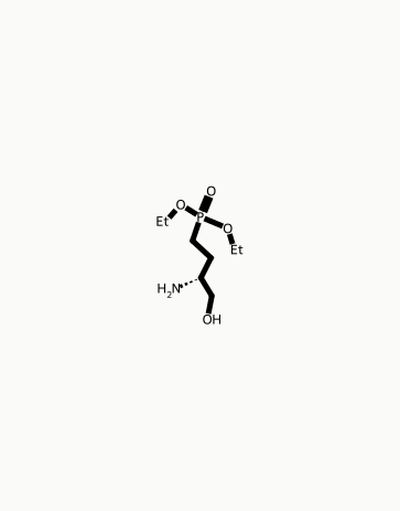 CCOP(=O)(CC[C@@H](N)CO)OCC